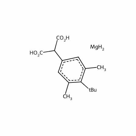 Cc1cc(C(C(=O)O)C(=O)O)cc(C)c1C(C)(C)C.[MgH2]